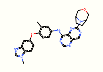 Cc1cc(Nc2ncnc3cnc(N4C5CCC4COC5)nc23)ccc1Oc1ccc2c(c1)ncn2C